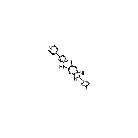 Cc1ccc(-c2nc3cc(Nc4nc(-c5ccncc5)cs4)c(C)cc3[nH]2)s1